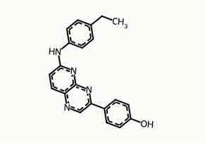 CCc1ccc(Nc2ccc3ncc(-c4ccc(O)cc4)nc3n2)cc1